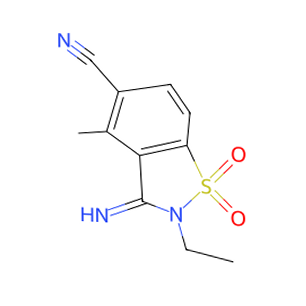 CCN1C(=N)c2c(ccc(C#N)c2C)S1(=O)=O